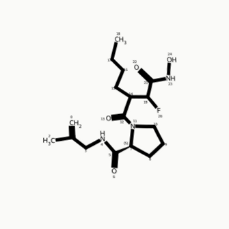 C=C(C)CNC(=O)[C@@H]1CCCN1C(=O)C(CCCC)C(F)C(=O)NO